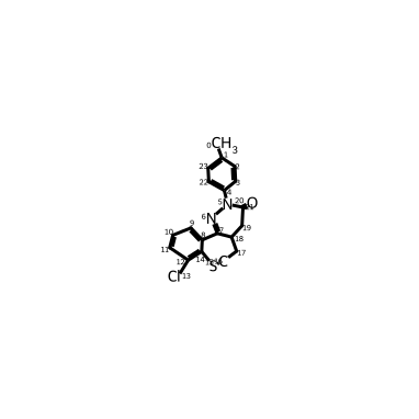 Cc1ccc(N2N=C3c4cccc(Cl)c4SCCC3CC2=O)cc1